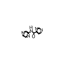 O=C(Nc1cnccn1)c1ccncn1